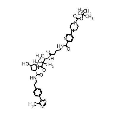 Cc1ncsc1-c1ccc(CCNC(=O)[C@@H]2C[C@@H](O)CN2C(=O)C(C)(C)[C@H](C)NC(=O)CCCNC(=O)c2ccc(N3CCN(C(=O)OC(C)(C)C)CC3)cn2)cc1